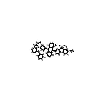 Cc1nc2cccc3c2n1-c1ccc(-c2c4ccccc4c(-c4ccc5c(c4)C(C)(C)c4cc(C#N)ccc4-5)c4ccccc24)cc1N3c1ccccc1